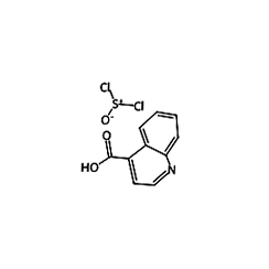 O=C(O)c1ccnc2ccccc12.[O-][S+](Cl)Cl